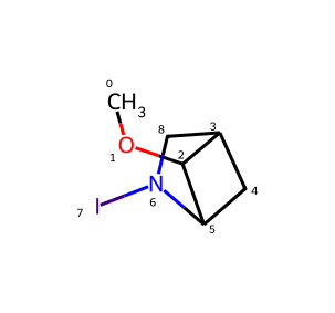 COC1C2CC1N(I)C2